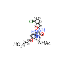 CC(=O)NCCNC(=O)C(NC(=O)Cc1cccc(Cl)c1)Nc1ccc(OCCCC(=O)O)cc1